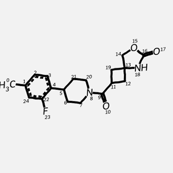 Cc1ccc(C2CCN(C(=O)C3CC4(COC(=O)N4)C3)CC2)c(F)c1